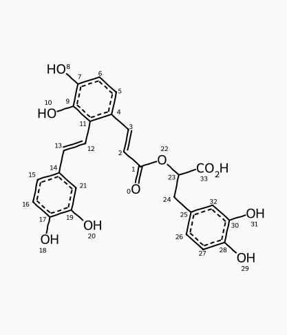 O=C(C=Cc1ccc(O)c(O)c1C=Cc1ccc(O)c(O)c1)OC(Cc1ccc(O)c(O)c1)C(=O)O